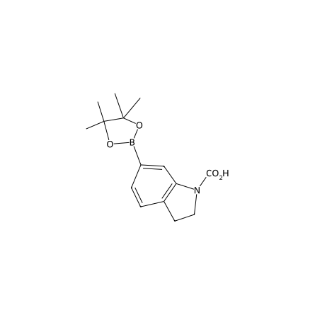 CC1(C)OB(c2ccc3c(c2)N(C(=O)O)CC3)OC1(C)C